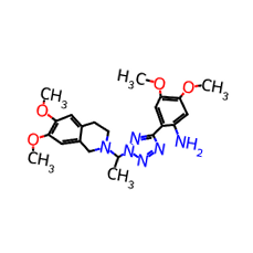 COc1cc(N)c(-c2nnn(C(C)N3CCc4cc(OC)c(OC)cc4C3)n2)cc1OC